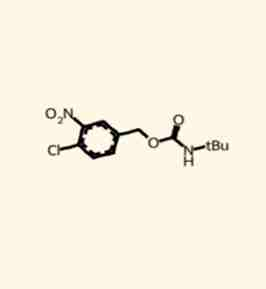 CC(C)(C)NC(=O)OCc1ccc(Cl)c([N+](=O)[O-])c1